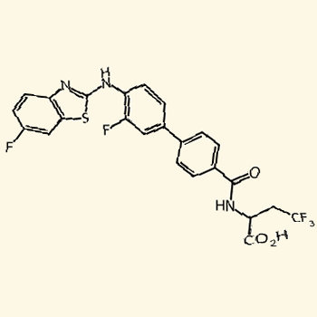 O=C(NC(CC(F)(F)F)C(=O)O)c1ccc(-c2ccc(Nc3nc4ccc(F)cc4s3)c(F)c2)cc1